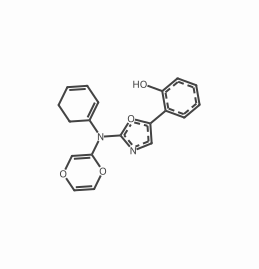 Oc1ccccc1-c1cnc(N(C2=CC=CCC2)C2=COC=CO2)o1